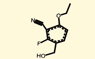 CCOc1ccc(CO)c(F)c1C#N